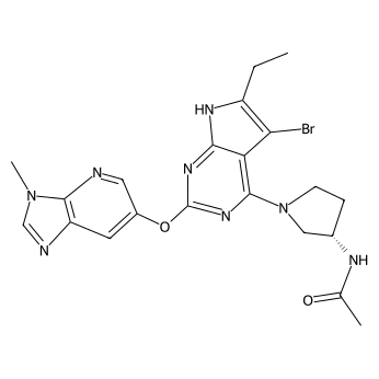 CCc1[nH]c2nc(Oc3cnc4c(c3)ncn4C)nc(N3CC[C@H](NC(C)=O)C3)c2c1Br